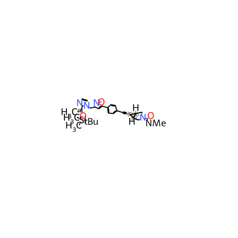 CNC(=O)N1C[C@@H]2[C@@H](C#Cc3ccc(-c4cc(Cn5ccnc5[C@H](C)O[Si](C)(C)C(C)(C)C)no4)cc3)[C@@H]2C1